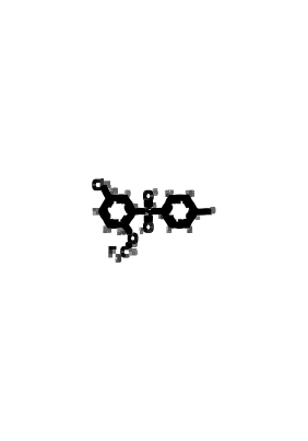 Cc1ccc(S(=O)(=O)c2cc(Cl)ccc2OC(F)(F)F)cc1